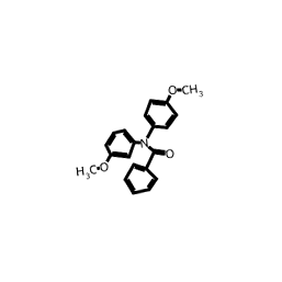 COc1ccc(N(C(=O)c2ccccc2)c2cccc(OC)c2)cc1